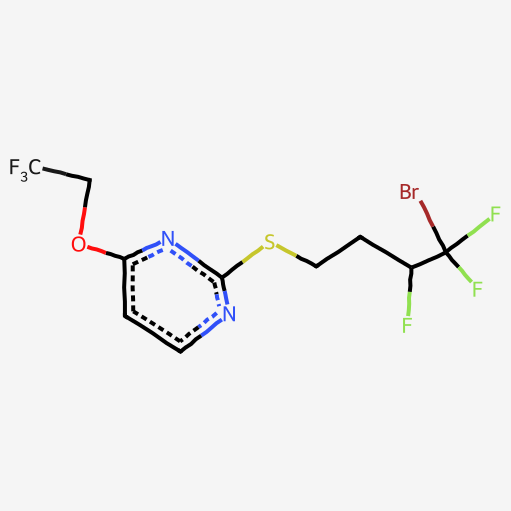 FC(CCSc1nccc(OCC(F)(F)F)n1)C(F)(F)Br